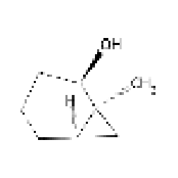 C[C@]12C[C@H]1CCC[C@H]2O